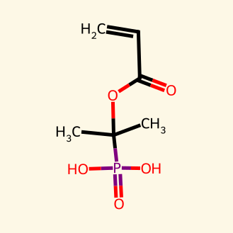 C=CC(=O)OC(C)(C)P(=O)(O)O